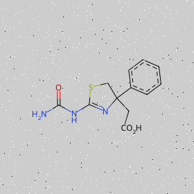 NC(=O)NC1=NC(CC(=O)O)(c2ccccc2)CS1